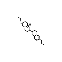 CCCc1ccc2c(c1)CCC(C1CCC3C[C@H](CCC)CC[C@@H]3C1)C2